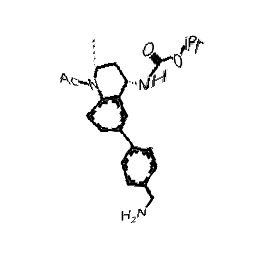 CC(=O)N1c2ccc(-c3ccc(CN)cc3)cc2[C@@H](NC(=O)OC(C)C)C[C@H]1C